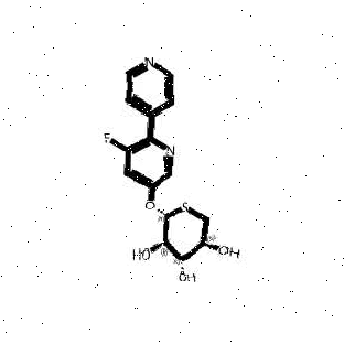 O[C@@H]1[C@@H](O)[C@H](Oc2cnc(-c3ccncc3)c(F)c2)SC[C@H]1O